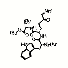 CCC(C)[C@H](NC(=O)[C@H](CCC(=O)C=N)NC(=O)[C@H](Cc1c[nH]c2ccccc12)NC(C)=O)C(=O)OC(C)(C)C